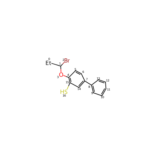 CCC(Br)Oc1ccc(-c2ccccc2)cc1S